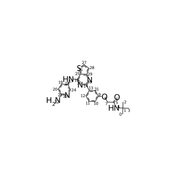 CC(C)(C)NC(=O)COc1cccc(-c2nc(Nc3ccc(N)nc3)c3sccc3n2)c1